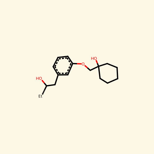 CCC(O)Cc1cccc(OCC2(O)CCCCC2)c1